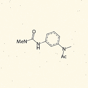 CNC(=O)Nc1cccc(N(C)C(C)=O)c1